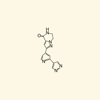 O=C1NCCn2nc(-c3ccnc(-c4cncnc4)c3)cc21